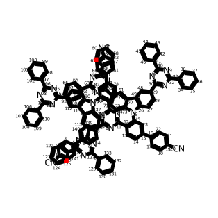 [C-]#[N+]c1ccc(-c2ccc(-c3nc(-c4ccc(-c5ccc(C#N)cc5)cc4-n4c5ccc(-c6nc(-c7ccccc7)nc(-c7ccccc7)n6)cc5c5cc(-c6nc(-c7ccccc7)nc(-c7ccccc7)n6)ccc54)nc(-c4ccc(-c5ccc([N+]#[C-])cc5)cc4-n4c5ccc(-c6nc(-c7ccccc7)nc(-c7ccccc7)n6)cc5c5cc(-c6nc(-c7ccccc7)nc(-c7ccccc7)n6)ccc54)n3)cc2)cc1